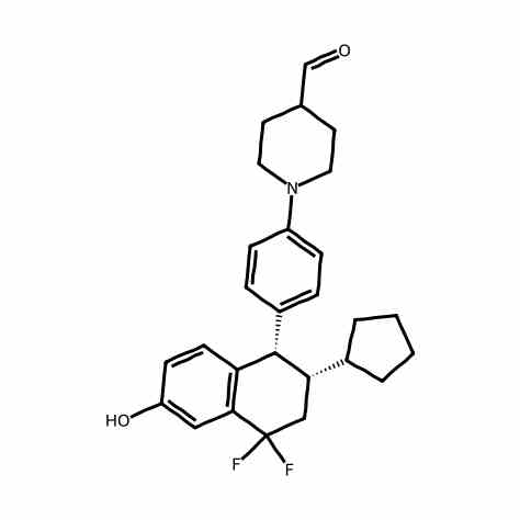 O=CC1CCN(c2ccc([C@H]3c4ccc(O)cc4C(F)(F)C[C@H]3C3CCCC3)cc2)CC1